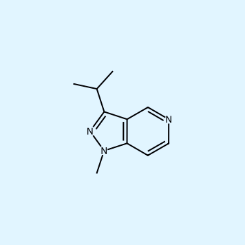 CC(C)c1nn(C)c2ccncc12